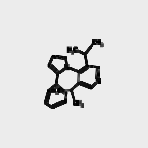 CC(C)c1cncc(C(C)C)c1-n1cccc1-c1ccccc1